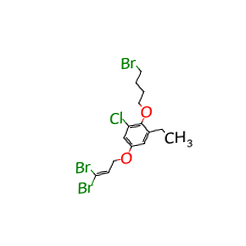 CCc1cc(OCC=C(Br)Br)cc(Cl)c1OCCCCBr